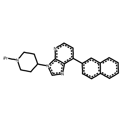 CC(C)N1CCC(n2cnc3c(-c4ccc5ccccc5c4)ccnc32)CC1